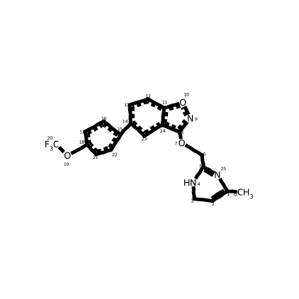 CC1=CCNC(COc2noc3ccc(-c4ccc(OC(F)(F)F)cc4)cc23)=N1